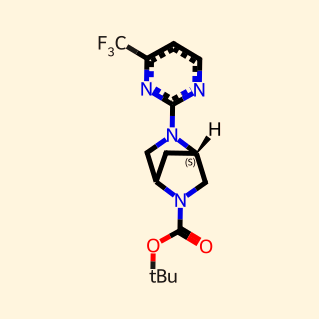 CC(C)(C)OC(=O)N1C[C@@H]2CC1CN2c1nccc(C(F)(F)F)n1